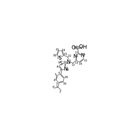 CC(C)c1ccc(-c2csc(N(Cc3ccnc(C(=O)O)n3)Cc3cccs3)n2)cc1